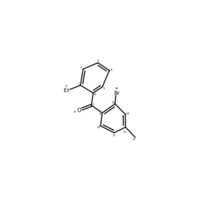 CCc1ccccc1C(=O)c1ccc(C)cc1Br